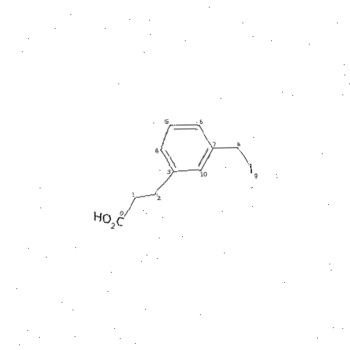 O=C(O)CCc1cccc(CI)c1